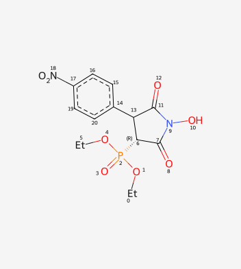 CCOP(=O)(OCC)[C@H]1C(=O)N(O)C(=O)C1c1ccc([N+](=O)[O-])cc1